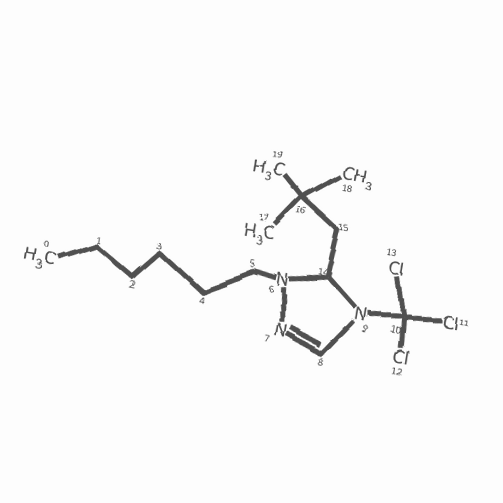 CCCCCCN1N=CN(C(Cl)(Cl)Cl)C1CC(C)(C)C